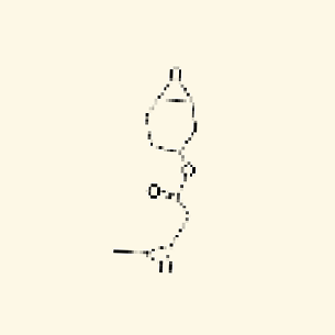 CC1OC1CC(=O)OC1CCC2OC2C1